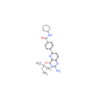 CCC(C)(C)Oc1nc(N)nc2ccc(-c3ccc(C(=O)NC4CCCC4)cc3)nc12